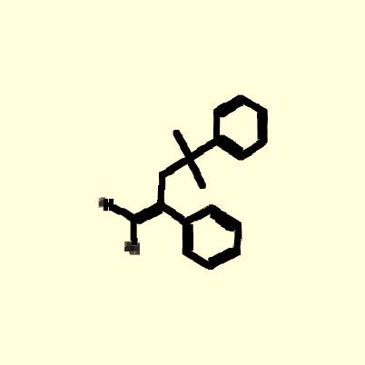 [2H]C([2H])=C(CC(C)(C)c1ccccc1)c1ccccc1